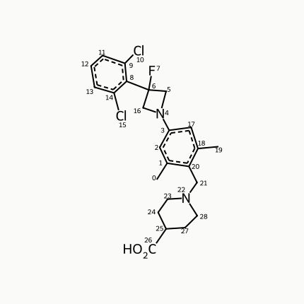 Cc1cc(N2CC(F)(c3c(Cl)cccc3Cl)C2)cc(C)c1CN1CCC(C(=O)O)CC1